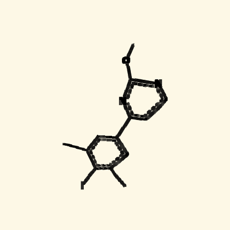 COc1nccc(-c2cc(C)c(I)c(C)c2)n1